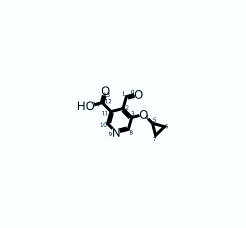 O=Cc1c(OC2CC2)cncc1C(=O)O